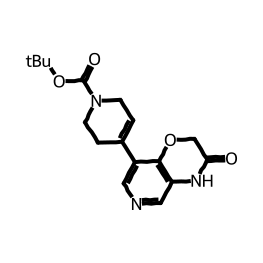 CC(C)(C)OC(=O)N1CC=C(c2cncc3c2OCC(=O)N3)CC1